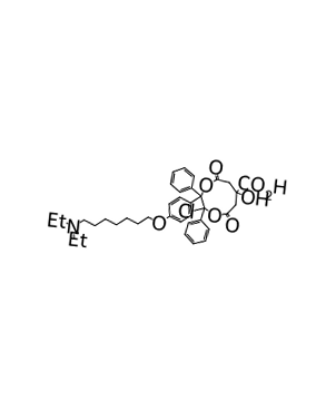 CCN(CC)CCCCCCCOc1ccc(C2(c3ccccc3)OC(=O)CC(O)(C(=O)O)CC(=O)OC2(Cl)c2ccccc2)cc1